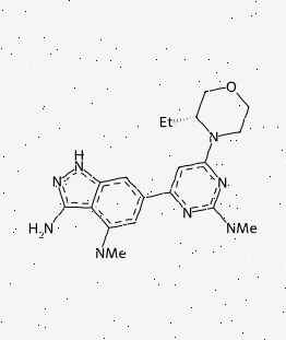 CC[C@@H]1COCCN1c1cc(-c2cc(NC)c3c(N)n[nH]c3c2)nc(NC)n1